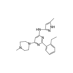 CCc1ccccc1-c1nc(Nc2cc(C)[nH]n2)cc(N2CCN(C)CC2)n1